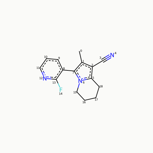 Cc1c(C#N)c2n(c1-c1cccnc1F)CCCC2